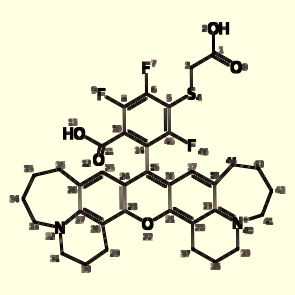 O=C(O)CSc1c(F)c(F)c(C(=O)O)c(C2=c3cc4c5c(c3Oc3c2cc2c6c3CCCN6CCCC2)CCC[N+]=5CCCC4)c1F